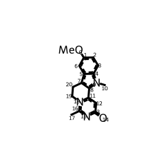 COc1ccc2c(c1)c1c(n2C)-c2cc(=O)nc(C)n2CC1